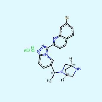 Cl.Cl.FC(F)(F)[C@@H](c1ccc2nnc(-c3ccc4ccc(Br)cc4n3)n2c1)N1C[C@@H]2C[C@H]1CN2